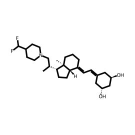 CC(CN1CCC(C(F)F)CC1)[C@H]1CC[C@H]2C(=CC=C3C[C@@H](O)C[C@H](O)C3)CCC[C@]12C